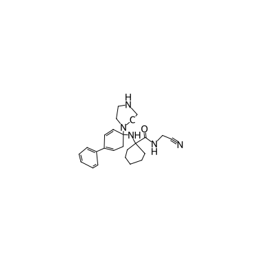 N#CCNC(=O)C1(NC2(N3CCNCC3)C=CC(c3ccccc3)=CC2)CCCCC1